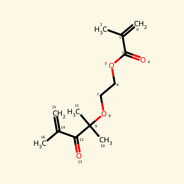 C=C(C)C(=O)OCCOC(C)(C)C(=O)C(=C)C